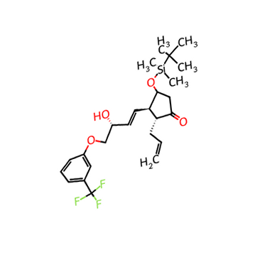 C=CC[C@H]1C(=O)CC(O[Si](C)(C)C(C)(C)C)[C@@H]1/C=C/[C@@H](O)COc1cccc(C(F)(F)F)c1